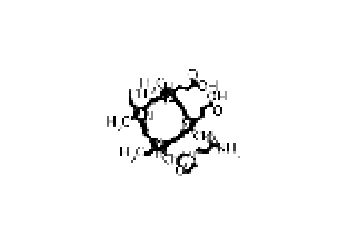 CCC1=C(C)c2cc3[nH]c(cc4nc(cc5[nH]c(cc1n2)c(C)c5CCC(=O)O)C(CCC(=O)O)=C4C)c(C)c3CC.NC(=O)CCN1CCOCC1